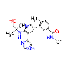 Cc1ccc(C(=O)NC2CC2)cc1-c1cnc(NC(C)(C)CO)c(-c2c[nH]cn2)c1